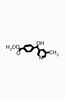 COC(=O)c1ccc(C(O)c2cncc(C)c2)cc1